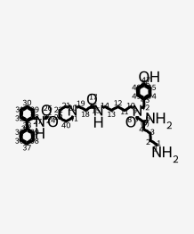 NCCCC[C@H](N)C(=O)N(CCCCCNC(=O)CCN1CCC(OC(=O)Nc2ccccc2-c2ccccc2)CC1)Cc1ccc(O)cc1